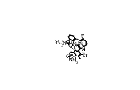 CCc1c(C)c(OS(N)(=O)=O)c(C)c(OCC(N)=O)c1-c1nc2ccc(F)cn2c1Nc1c(C)cccc1C